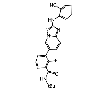 CC(C)(C)NC(=O)c1cccc(-c2ccc3nc(Nc4ccccc4C#N)nn3c2)c1F